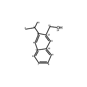 CC(C)c1cc2ccccc2cc1CO